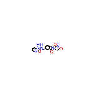 O=C1CCC(N2Cc3ccc(CNC(=O)Nc4ccccn4)cc3C2=O)C(=O)N1